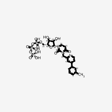 Cc1cccc(-c2ccnc(Cn3c(=O)ccn([C@@H]4O[C@H](COP(=O)(O)OP(=O)(O)OP(=O)(O)O)C(O)C4O)c3=O)c2)c1